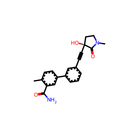 Cc1ccc(-c2cccc(C#C[C@]3(O)CCN(C)C3=O)c2)cc1C(N)=O